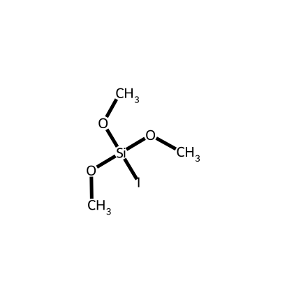 CO[Si](I)(OC)OC